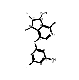 Cc1ncc(Oc2cc(F)cc(C#N)c2)c2c1[C@H](O)[C@H](F)[C@@H]2F